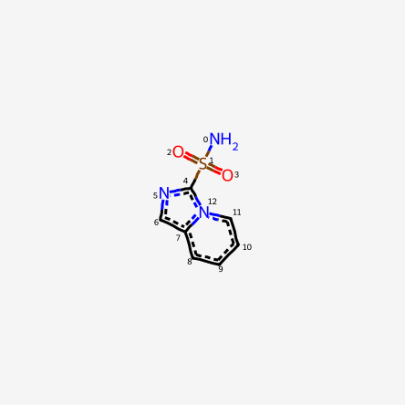 NS(=O)(=O)c1ncc2ccccn12